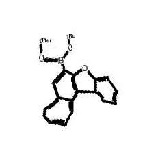 CC(C)(C)OB(OC(C)(C)C)c1cc2ccccc2c2c1oc1ccccc12